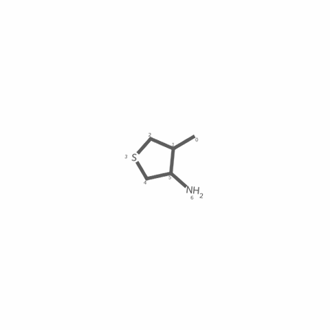 CC1CSCC1N